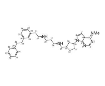 CNc1ncnc2c1ccn2C1CCC(CNCCCNCCc2cccc(CCc3ccccc3)c2)C1